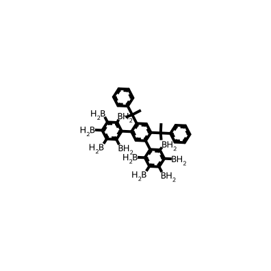 Bc1c(B)c(B)c(-c2cc(-c3c(B)c(B)c(B)c(B)c3B)c(C(C)(C)c3ccccc3)cc2C(C)(C)c2ccccc2)c(B)c1B